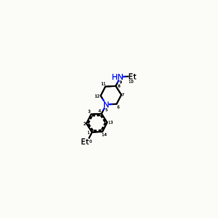 [CH2]Cc1ccc(N2CCC(NCC)CC2)cc1